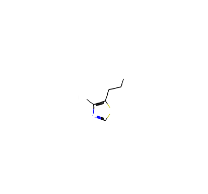 Cc1ncsc1CCC(C)(C)C